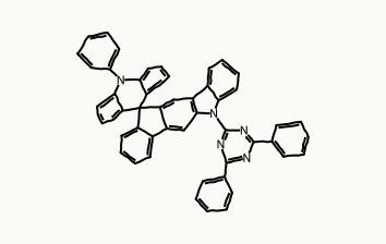 c1ccc(-c2nc(-c3ccccc3)nc(-n3c4ccccc4c4cc5c(cc43)-c3ccccc3C53c4ccccc4N(c4ccccc4)c4ccccc43)n2)cc1